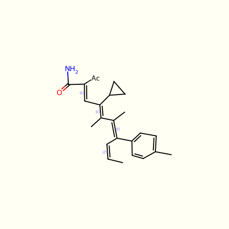 C\C=C/C(=C(C)\C(C)=C(\C=C(/C(C)=O)C(N)=O)C1CC1)c1ccc(C)cc1